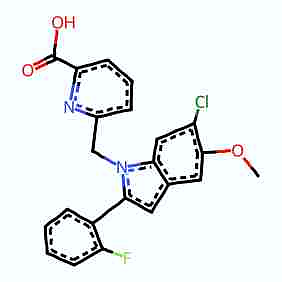 COc1cc2cc(-c3ccccc3F)n(Cc3cccc(C(=O)O)n3)c2cc1Cl